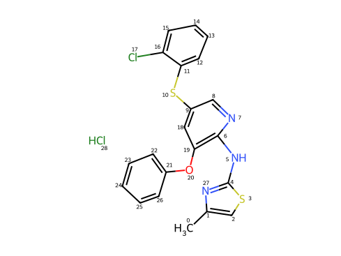 Cc1csc(Nc2ncc(Sc3ccccc3Cl)cc2Oc2ccccc2)n1.Cl